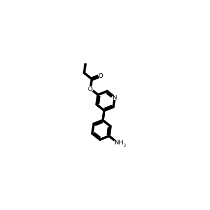 CCC(=O)Oc1cncc(-c2cccc(N)c2)c1